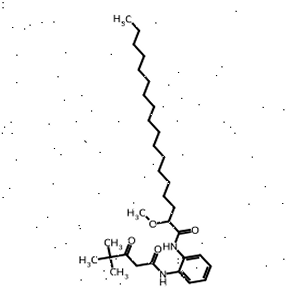 CCCCCCCCCCCCCCCCC(OC)C(=O)Nc1ccccc1NC(=O)CC(=O)C(C)(C)C